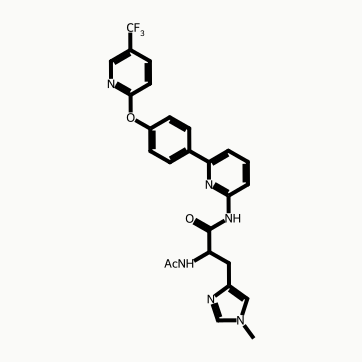 CC(=O)NC(Cc1cn(C)cn1)C(=O)Nc1cccc(-c2ccc(Oc3ccc(C(F)(F)F)cn3)cc2)n1